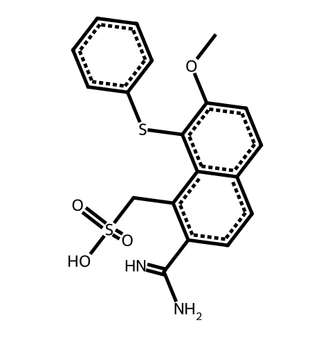 COc1ccc2ccc(C(=N)N)c(CS(=O)(=O)O)c2c1Sc1ccccc1